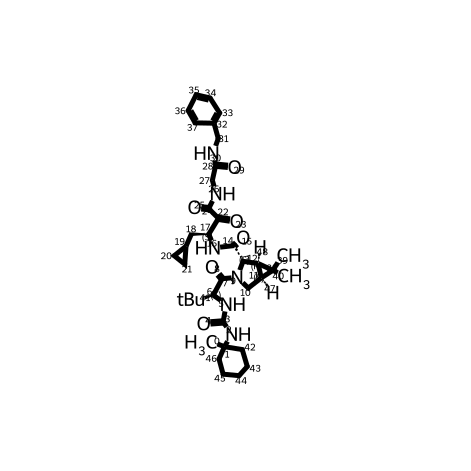 CC1(NC(=O)N[C@H](C(=O)N2C[C@H]3[C@@H]([C@H]2C(=O)N[C@@H](CC2CC2)C(=O)C(=O)NCC(=O)NCc2ccccc2)C3(C)C)C(C)(C)C)CCCCC1